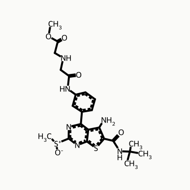 COC(=O)CNCC(=O)Nc1cccc(-c2nc([S+](C)[O-])nc3sc(C(=O)NC(C)(C)C)c(N)c23)c1